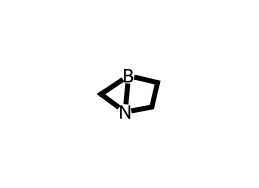 C1CN2CB12